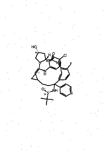 CC(C)(C)[S@@+]([O-])NC1(c2ccncc2)CCC2C/C2=C(/Nc2ccc(Cl)cc2)N2C[C@H](O)C[C@@H]2C(=O)Nc2cc1ccc2F